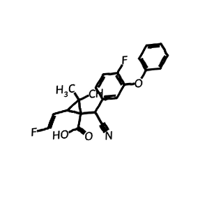 CC1(C)C(C=CF)C1(C(=O)O)C(C#N)c1ccc(F)c(Oc2ccccc2)c1